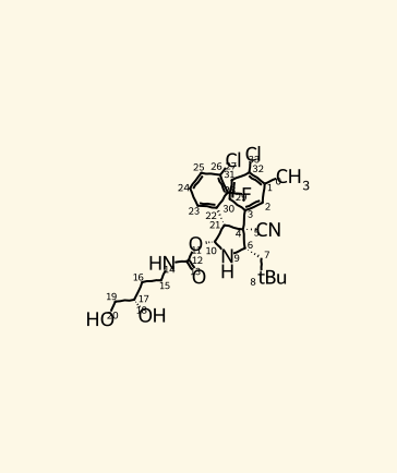 Cc1cc([C@@]2(C#N)[C@H](CC(C)(C)C)N[C@H](OC(=O)NCC[C@H](O)CO)[C@@H]2c2cccc(Cl)c2F)ccc1Cl